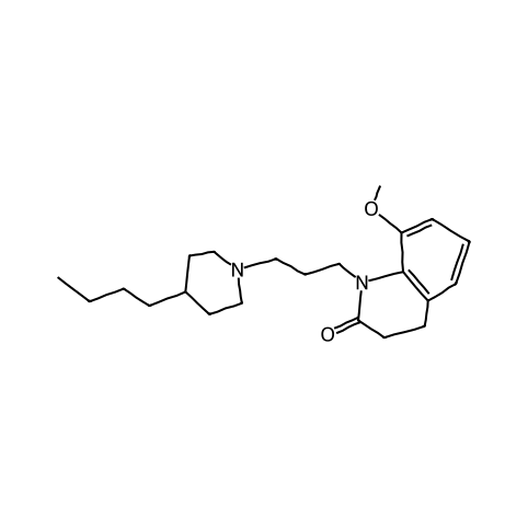 CCCCC1CCN(CCCN2C(=O)CCc3cccc(OC)c32)CC1